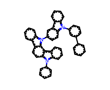 c1ccc(-c2cccc(-n3c4ccccc4c4cc(-n5c6ccccc6c6ccc7c(c8ccccc8n7-c7ccccc7)c65)ccc43)c2)cc1